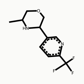 CC1COCC(c2ccc(C(F)(F)F)nc2)N1